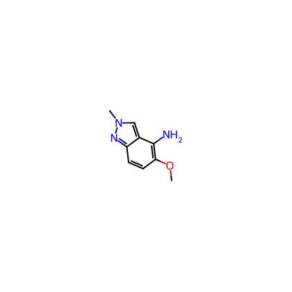 COc1ccc2nn(C)cc2c1N